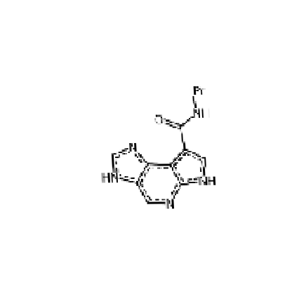 CC(C)NC(=O)c1c[nH]c2ncc3[nH]cnc3c12